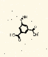 N=Nc1cc(C(=O)O)cc(C(=O)O)c1